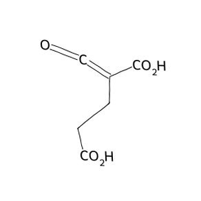 O=C=C(CCC(=O)O)C(=O)O